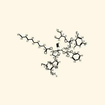 C#C[C@]1(CO[P@@](=O)(N[C@@H](Cc2cc(F)cc(F)c2)C(=O)OCC(CC)CC)Oc2ccccc2)O[C@@H](n2cnc3c(N)nc(F)nc32)C[C@@H]1OC(=O)CCCCCCCCC